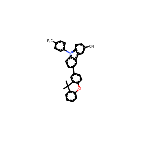 CC1(C)c2ccccc2Oc2ccc(-c3ccc4c(c3)c3cc(C#N)ccc3n4-c3ccc(C(F)(F)F)cc3)cc21